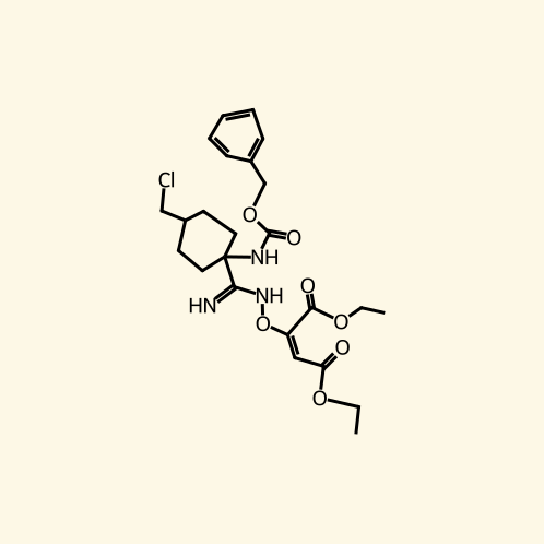 CCOC(=O)C=C(ONC(=N)C1(NC(=O)OCc2ccccc2)CCC(CCl)CC1)C(=O)OCC